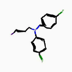 Fc1ccc(N(CCCI)c2ccc(F)cc2)cc1